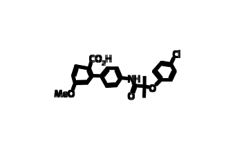 COc1ccc(C(=O)O)c(-c2ccc(NC(=O)C(C)(C)Oc3ccc(Cl)cc3)cc2)c1